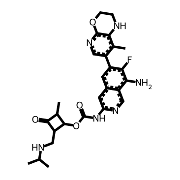 Cc1c(-c2cc3cc(NC(=O)OC4C(C)C(=O)C4CNC(C)C)ncc3c(N)c2F)cnc2c1NCCO2